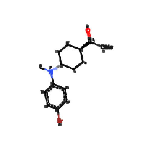 COC(=O)[C@H]1CC[C@H](N(C)c2ccc(Br)cc2)CC1